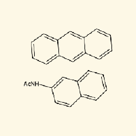 CC(=O)Nc1ccc2ccccc2c1.c1ccc2cc3ccccc3cc2c1